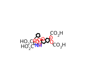 O=C(O)COc1cc2cc(OC(=O)N[C@H](C(=O)O)[C@H](OCc3ccccc3)C(=O)O)c(=O)oc2cc1OCC(=O)O